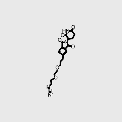 [N-]=[N+]=NCCOCCOCCCc1ccc2c(c1)C(=O)N(C1CCC(=O)NC1=O)C2=O